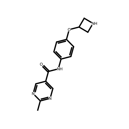 Cc1ncc(C(=O)Nc2ccc(OC3CNC3)cc2)cn1